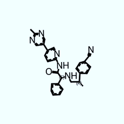 Cc1ncc(-c2ccc(NC(=O)[C@@H](NC[C@H](C)c3ccc(C#N)cc3)c3ccccc3)nc2)cn1